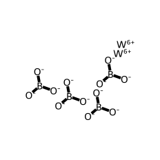 [O-]B([O-])[O-].[O-]B([O-])[O-].[O-]B([O-])[O-].[O-]B([O-])[O-].[W+6].[W+6]